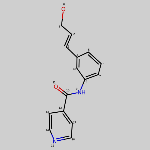 [O]CC=Cc1cccc(NC(=O)c2ccncc2)c1